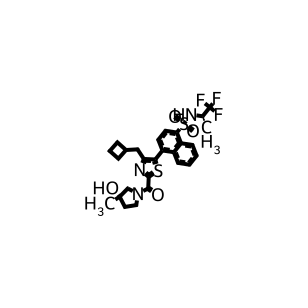 C[C@H](NS(=O)(=O)c1ccc(-c2sc(C(=O)N3CCC(C)(O)C3)nc2CC2CCC2)c2ccccc12)C(F)(F)F